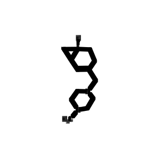 CN1CCN(CC2=CC3C[C@H]3CC2)CC1